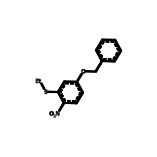 CCSc1cc(OCc2ccccc2)ccc1[N+](=O)[O-]